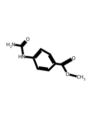 COC(=O)c1ccc(NC(N)=O)cc1